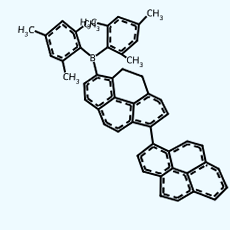 Cc1cc(C)c(B(c2ccc3ccc4c(-c5ccc6ccc7cccc8ccc5c6c78)ccc5c4c3c2CC5)c2c(C)cc(C)cc2C)c(C)c1